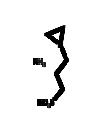 N.O=S(=O)(O)CCCN1CC1